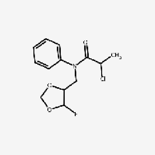 CC(Cl)C(=O)N(CC1OCOC1F)c1ccccc1